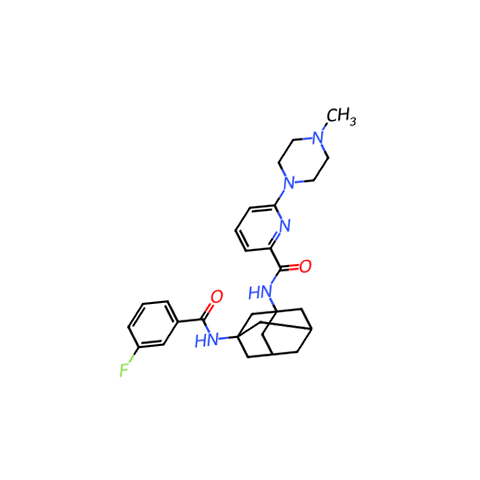 CN1CCN(c2cccc(C(=O)NC34CC5CC(CC(NC(=O)c6cccc(F)c6)(C5)C3)C4)n2)CC1